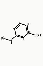 CC(C)Nc1ccnc(C(=O)O)c1